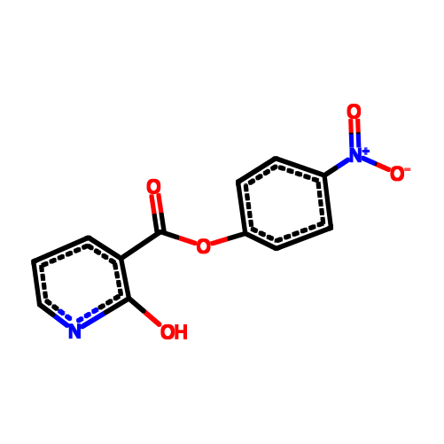 O=C(Oc1ccc([N+](=O)[O-])cc1)c1cccnc1O